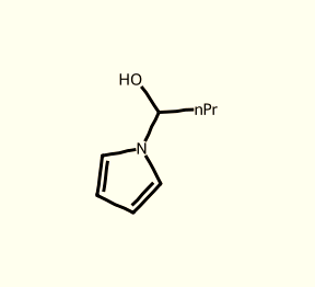 CCCC(O)n1cccc1